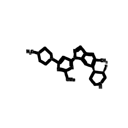 COc1nc(N2CCN(C)CC2)cc(-n2ncc3cc(C)c([C@H]4CCNC[C@H]4F)cc32)n1